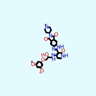 COc1cc(OC)cc(OCC(O)CNc2cc[nH]c(=O)c2-c2nc3cc4c(cc3[nH]2)C(=O)N(C2CCN(C)CC2)C4=O)c1